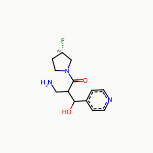 NCC(C(=O)N1CC[C@H](F)C1)C(O)c1ccncc1